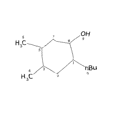 CCCCC1CC(C)C(C)CC1O